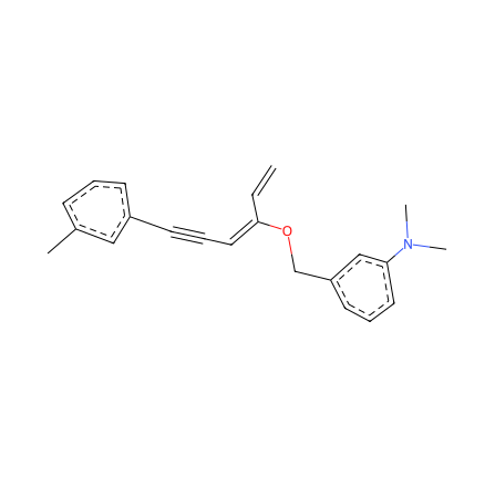 C=C/C(=C\C#Cc1cccc(C)c1)OCc1cccc(N(C)C)c1